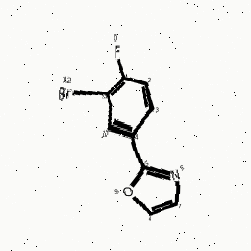 Fc1ccc(-c2ncco2)cc1Br